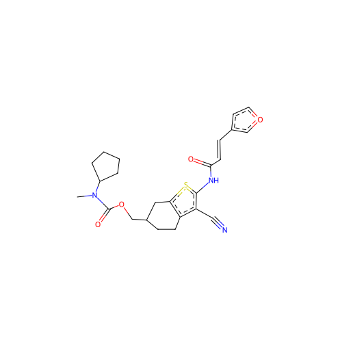 CN(C(=O)OCC1CCc2c(sc(NC(=O)C=Cc3ccoc3)c2C#N)C1)C1CCCC1